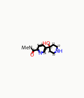 CNC(=O)c1ccc(C2(O)CCNCC2)cn1